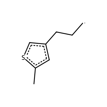 [CH2]CCc1csc(C)c1